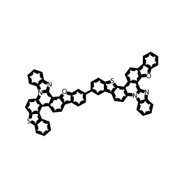 c1ccc2c(c1)nc1c3c(ccc4c5ccccc5oc43)c3c4sc5ccc(-c6ccc7c(c6)oc6c7ccc7c8c9c(ccc8n8c%10ccccc%10nc8c76)sc6ccccc69)cc5c4ccc3n21